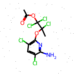 CC(=O)OC(Cl)(Cl)C(C)(Cl)Oc1nc(N)c(Cl)cc1Cl